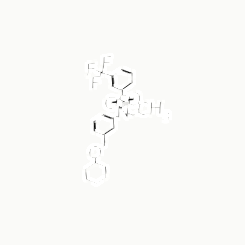 CCN(c1cccc(COC2CCCCC2)c1)S(=O)(=O)c1cccc(C(F)(F)F)c1